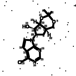 CC1(C)OC[C@H]2C[C@@H](n3ccc4c(Cl)ncnc43)[C@H](O)[C@@H]2O1